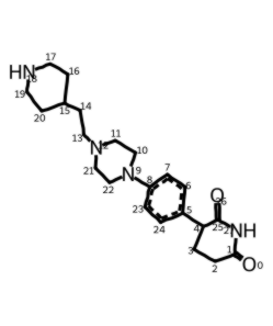 O=C1CCC(c2ccc(N3CCN(CCC4CCNCC4)CC3)cc2)C(=O)N1